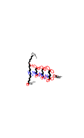 CCCCCCCCCCCCCCCCC[C](=O)[Al+2].N[C@@H](CCC(=O)O)C(=O)[O-].N[C@@H](CCC(=O)O)C(=O)[O-].N[C@@H](CCC(=O)O)C(=O)[O-].[Na+].[Na+].[O-]